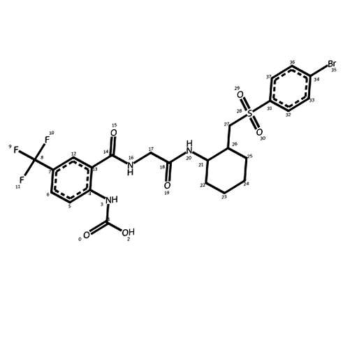 O=C(O)Nc1ccc(C(F)(F)F)cc1C(=O)NCC(=O)NC1CCCCC1CS(=O)(=O)c1ccc(Br)cc1